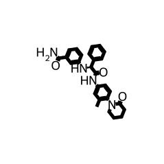 Cc1cc(NC(=O)[C@@H](Nc2cccc(C(N)=O)c2)c2ccccc2)ccc1N1CCCCC1=O